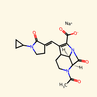 CC(=O)N1CCC2C(/C=C3\CCN(C4CC4)C3=O)=C(C(=O)[O-])N3C(=O)[C@@H]1[C@@H]23.[Na+]